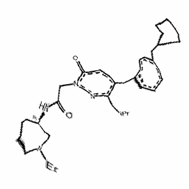 CCN1CCC[C@@H](NC(=O)Cn2nc(C(C)C)c(-c3cccc(C4CCC4)c3)cc2=O)C1